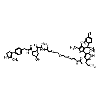 C=C[C@H](CC(=O)NCCOCCOCCOCC(=O)N[C@@H](C(=O)N1CC(O)C[C@@H]1C(=O)NCc1ccc(C2=C(C)NCS2)cc1)C(C)(C)C)C1=NNC(C)C(c2sc(C)c(C)c2C(=C)c2ccc(Cl)cc2)=C1